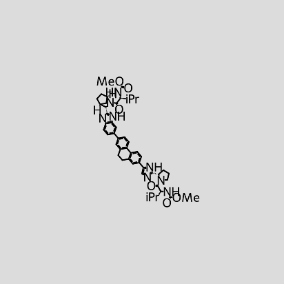 COC(=O)N[C@H](C(=O)N1CCC[C@H]1c1ncc(-c2ccc3c(c2)CCc2cc(-c4ccc5nc([C@@H]6[C@H]7CC[C@H](C7)N6C(=O)[C@@H](NC(=O)OC)C(C)C)[nH]c5c4)ccc2-3)[nH]1)C(C)C